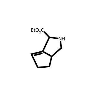 CCOC(=O)C1NCC2CCC=C21